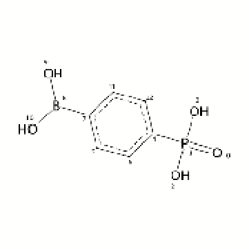 O=P(O)(O)c1ccc(B(O)O)cc1